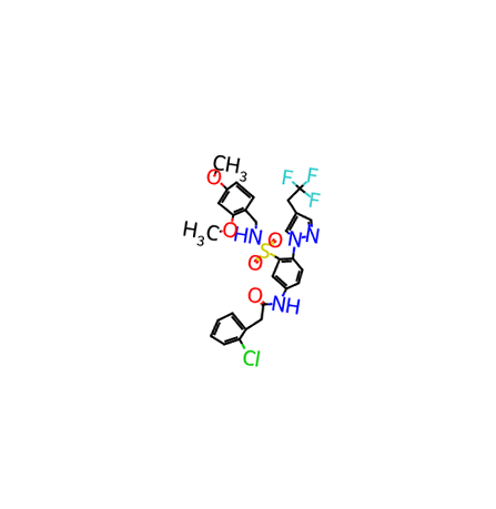 COc1ccc(CNS(=O)(=O)c2cc(NC(=O)Cc3ccccc3Cl)ccc2-n2cc(CC(F)(F)F)cn2)c(OC)c1